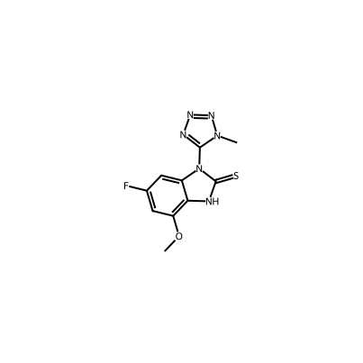 COc1cc(F)cc2c1[nH]c(=S)n2-c1nnnn1C